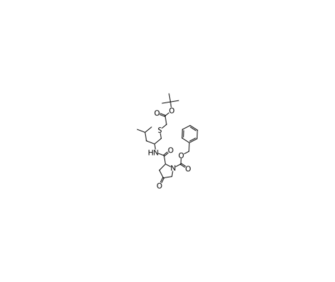 CC(C)CC(CSCC(=O)OC(C)(C)C)NC(=O)C1CC(=O)CN1C(=O)OCc1ccccc1